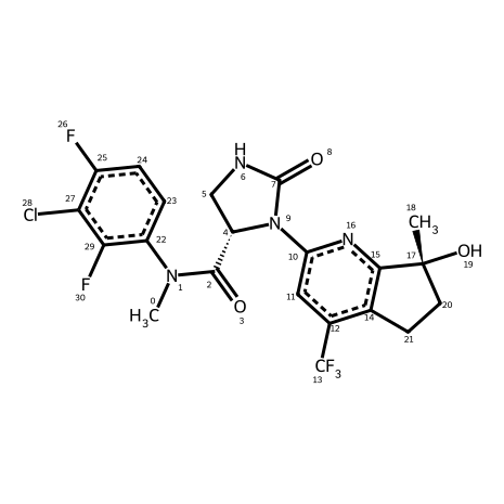 CN(C(=O)[C@@H]1CNC(=O)N1c1cc(C(F)(F)F)c2c(n1)[C@](C)(O)CC2)c1ccc(F)c(Cl)c1F